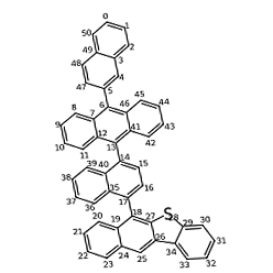 c1ccc2cc(-c3c4ccccc4c(-c4ccc(-c5c6ccccc6cc6c5sc5ccccc56)c5ccccc45)c4ccccc34)ccc2c1